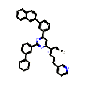 C=C/C(=C\C=C\c1cccnc1)c1cc(-c2cccc(-c3ccc4ccccc4c3)c2)nc(-c2cccc(C3=CCCC=C3)c2)n1